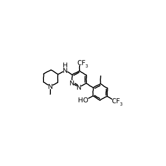 Cc1cc(C(F)(F)F)cc(O)c1-c1cc(C(F)(F)F)c(NC2CCCN(C)C2)nn1